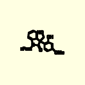 CCCCCN1C(=O)C(CO)(c2ccc(OC)cc2O)c2ccccc21